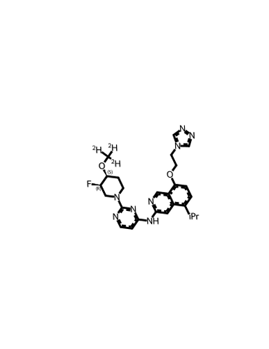 [2H]C([2H])([2H])O[C@H]1CCN(c2nccc(Nc3cc4c(C(C)C)ccc(OCCn5cnnc5)c4cn3)n2)C[C@H]1F